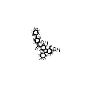 Cc1cc(C2(c3ccc(O)c(C(C)c4ccc(-c5ccccc5)cc4)c3)CCCCC2)ccc1O